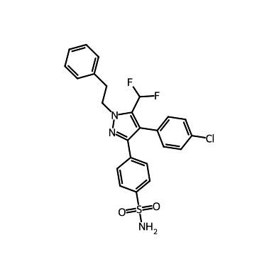 NS(=O)(=O)c1ccc(-c2nn(CCc3ccccc3)c(C(F)F)c2-c2ccc(Cl)cc2)cc1